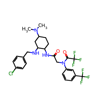 CN(C)C1CCC(NC(=O)CN(C(=O)C(F)(F)F)c2cccc(C(F)(F)F)c2)C(NCc2ccc(Cl)cc2)C1